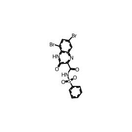 O=C(NS(=O)(=O)c1ccccc1)c1nc2cc(Br)cc(Br)c2[nH]c1=O